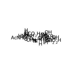 CC(=O)N[C@@H](Cc1ccc(O)cc1)C(=O)N[C@H](CC(C)C)C(=O)N[C@@H](CC(=O)O)C(=O)NCCOCCn1cc(CCC(=O)N[C@@H](CCCCN)C(=O)N[C@@H](CS)C(=O)N[C@@H](CO)C(=O)C[C@H](Cc2ccc(O)cc2)C(=O)C[C@@H](CO)C(=O)N[C@@H](CC(C)C)C(=O)O)nn1